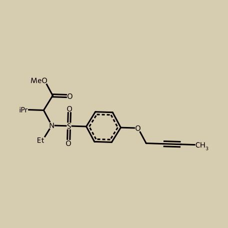 CC#CCOc1ccc(S(=O)(=O)N(CC)C(C(=O)OC)C(C)C)cc1